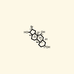 C[C@]12CC[C@H](O)C[C@@H]1C[C@H](O)[C@@H]1[C@@H]2CC[C@]2(C)C(O)[C@@H](Br)C[C@@H]12